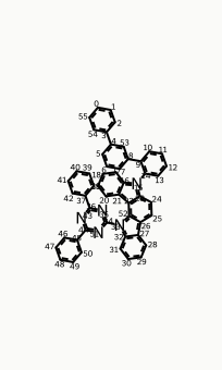 c1ccc(-c2cccc(-c3ccccc3-n3c4ccccc4c4c3ccc3c5ccccc5n(-c5nc(-c6ccccc6)nc(-c6ccccc6)n5)c34)c2)cc1